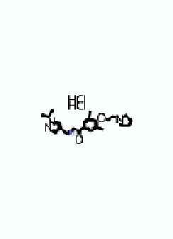 Cc1cc(C(=O)/C=C/c2cnn(C(C)C)c2)cc(C)c1OCCN1CCCC1.Cl.Cl